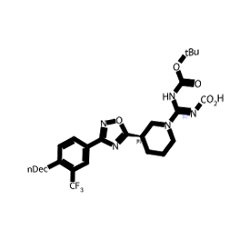 CCCCCCCCCCc1ccc(-c2noc([C@@H]3CCCN(/C(=N/C(=O)O)NC(=O)OC(C)(C)C)C3)n2)cc1C(F)(F)F